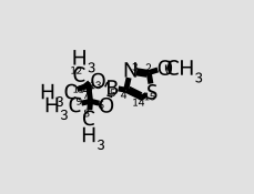 COc1nc(B2OC(C)(C)C(C)(C)O2)cs1